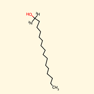 [2H]C([2H])(O)CCCCCCCCCCCCCCC